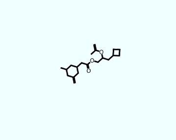 C=C1CC(C)CC(CC(=O)OCC(CC2CCC2)OC(=C)C)C1